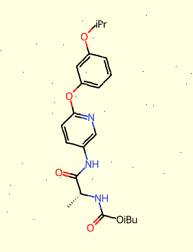 CC(C)COC(=O)N[C@H](C)C(=O)Nc1ccc(Oc2cccc(OC(C)C)c2)nc1